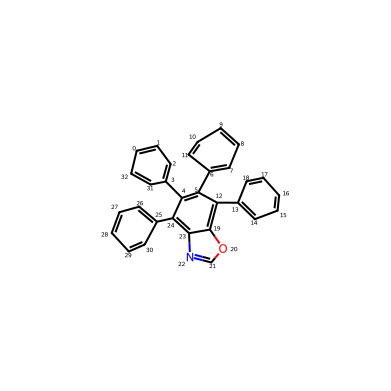 c1ccc(-c2c(-c3ccccc3)c(-c3ccccc3)c3ocnc3c2-c2ccccc2)cc1